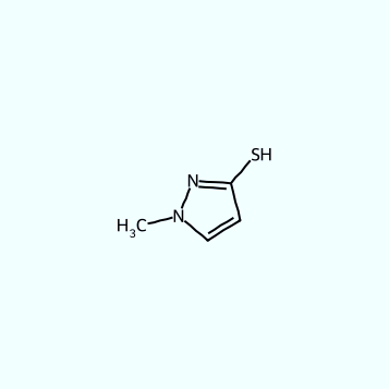 Cn1ccc(S)n1